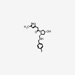 Cc1cc(CC(=O)N2C[C@H](O)C[C@H]2CNCc2ccc(F)cc2)on1